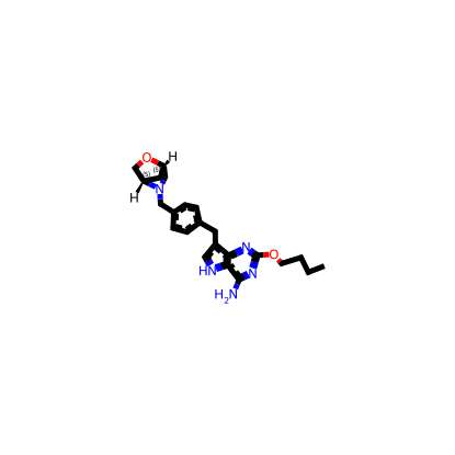 CCCCOc1nc(N)c2[nH]cc(Cc3ccc(CN4C[C@@H]5C[C@H]4CO5)cc3)c2n1